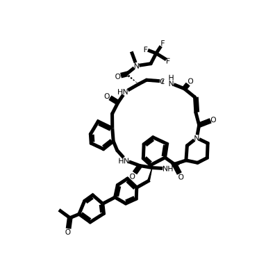 CC(=O)c1ccc(-c2ccc(C[C@@H]3NC(=O)[C@]4(Cc5ccccc5)CCCN(C4)C(=O)/C=C/C(=O)NCC[C@@H](C(=O)N(C)CC(F)(F)F)NC(=O)Cc4ccccc4CNC3=O)cc2)cc1